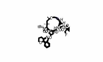 C[C@H]1CC/C=C\[C@@H]2C[C@@]2(C(=O)NS(=O)(=O)C2(CF)CC2)NC(=O)[C@@H]2C[C@@H](Oc3nc4c(c5ccccc35)OCCC4)CN2C(=O)[C@@H](N(C(=O)O)C(C)(C)C)[C@H](C)C1